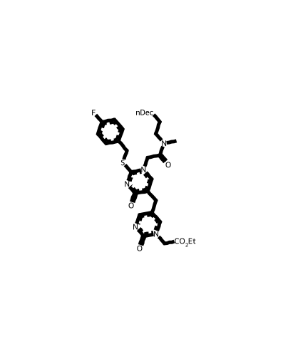 CCCCCCCCCCCCN(C)C(=O)Cn1cc(Cc2cnc(=O)n(CC(=O)OCC)c2)c(=O)nc1SCc1ccc(F)cc1